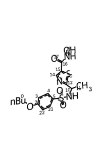 CCCCOc1ccc(S(=O)(=O)NC(C)c2ncc(C(=O)NO)s2)cc1